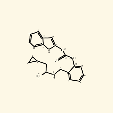 CC(CC1CC1)NCc1ccccc1NC(=O)Oc1cc2ccccc2s1